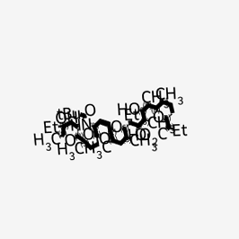 CCC(C(=O)[C@@H](C)[C@@H](O)[C@H](C)[C@@H]1O[C@@H]([C@@H](CC)C(=O)O)CC[C@@H]1C)[C@H]1O[C@]2(C=C[C@@H](NC(=O)C(C)(C)C)[C@]3(CC[C@@](C)([C@H]4CC[C@](O)(CC)[C@H](C)O4)O3)O2)[C@H](C)C[C@@H]1C